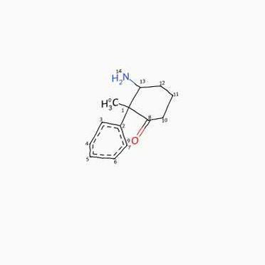 CC1(c2ccccc2)C(=O)CCCC1N